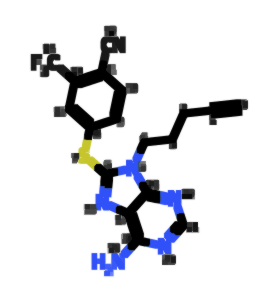 C#CCCCn1c(Sc2ccc(C#N)c(C(F)(F)F)c2)nc2c(N)ncnc21